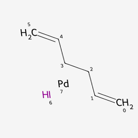 C=CCCC=C.I.[Pd]